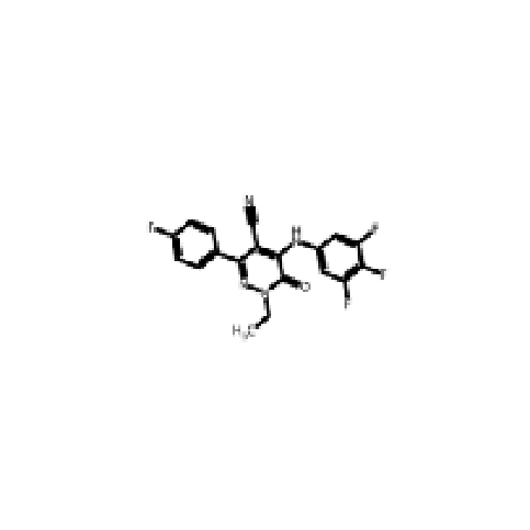 CCn1nc(-c2ccc(F)cc2)c(C#N)c(Nc2cc(F)c(F)c(F)c2)c1=O